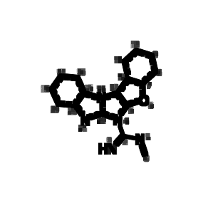 C=NC(=N)n1c2oc3ccccc3c2n2c3ccccc3nc12